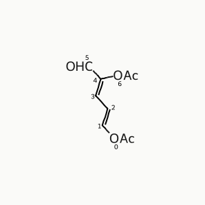 CC(=O)O/C=C/C=C(/C=O)OC(C)=O